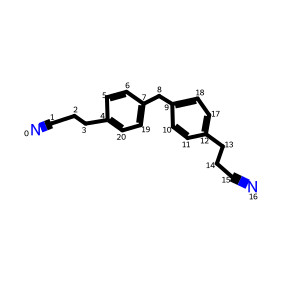 N#CCCc1ccc(Cc2ccc(CCC#N)cc2)cc1